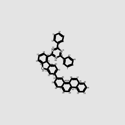 c1ccc(-c2nc(-c3ccccc3)nc(-c3cccc4oc5cc(-c6ccc7ccc8c9ccccc9ccc8c7c6)ccc5c34)n2)cc1